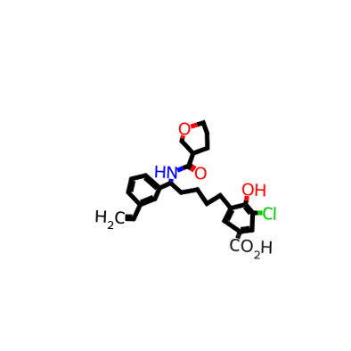 C=Cc1cccc(C(CCCCc2cc(C(=O)O)cc(Cl)c2O)NC(=O)C2CCCOC2)c1